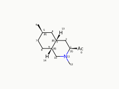 CC(=O)[C@@H]1C[C@H]2C[C@H](C)CC[C@H]2CN1C